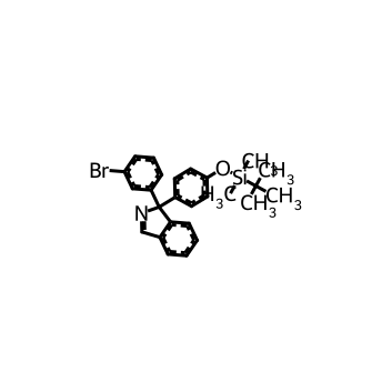 CC(C)(C)[Si](C)(C)Oc1ccc(C2(c3cccc(Br)c3)N=Cc3ccccc32)cc1